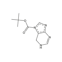 CC(C)(C)OC(=O)n1cnc2c1CNC=N2